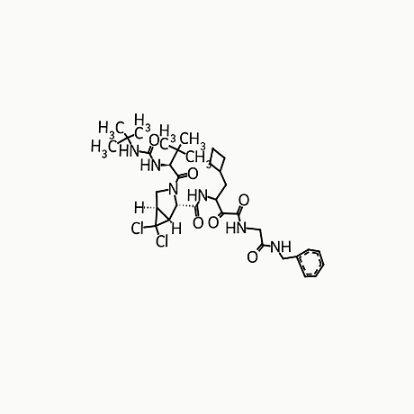 CC(C)(C)NC(=O)N[C@H](C(=O)N1C[C@H]2[C@@H]([C@H]1C(=O)NC(CC1CCC1)C(=O)C(=O)NCC(=O)NCc1ccccc1)C2(Cl)Cl)C(C)(C)C